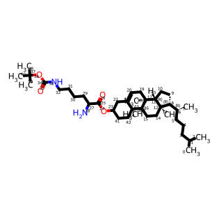 CC(C)CCC[C@@H](C)[C@H]1CC[C@@H]2[C@]1(C)CC[C@H]1[C@@]2(C)CC=C2CC(OC(=O)C(N)CCCCNC(=O)OC(C)(C)C)CC[C@@]21C